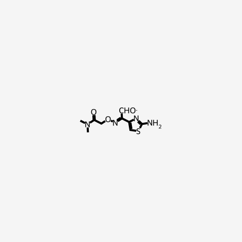 CN(C)C(=O)CON=C([C]=O)c1csc(N)n1